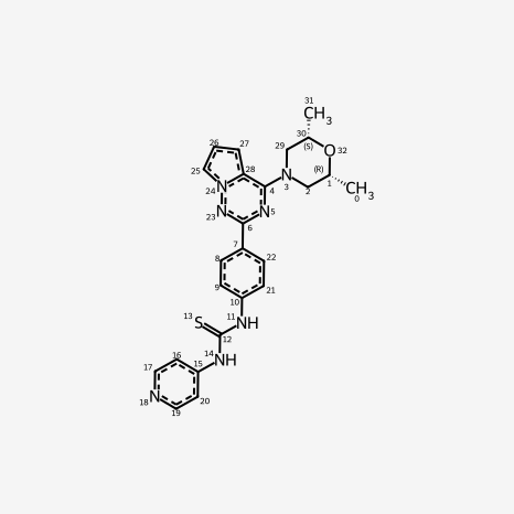 C[C@@H]1CN(c2nc(-c3ccc(NC(=S)Nc4ccncc4)cc3)nn3cccc23)C[C@H](C)O1